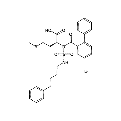 CSCC[C@@H](C(=O)O)N(C(=O)c1ccccc1-c1ccccc1)S(=O)(=O)NCCCCc1ccccc1.[Li]